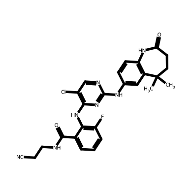 CC1(C)CCC(=O)Nc2ccc(Nc3ncc(Cl)c(Nc4c(F)cccc4C(=O)NCCC#N)n3)cc21